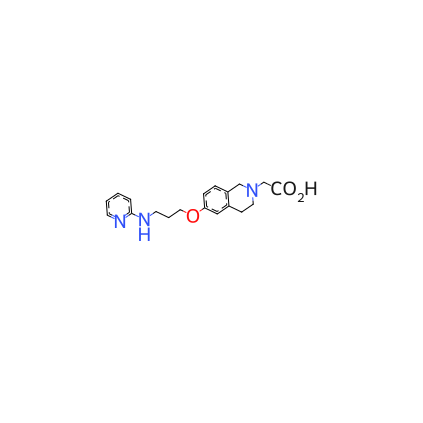 O=C(O)CN1CCc2cc(OCCCNc3ccccn3)ccc2C1